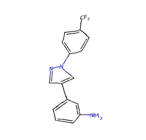 Nc1cccc(-c2cnn(-c3ccc(C(F)(F)F)cc3)c2)c1